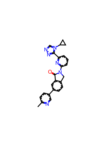 Cc1ccc(-c2ccc3c(c2)C(=O)N(c2cccc(-c4nncn4C4CC4)n2)C3)cn1